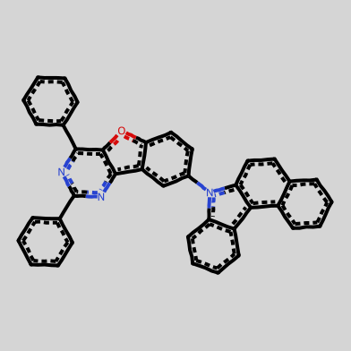 c1ccc(-c2nc(-c3ccccc3)c3oc4ccc(-n5c6ccccc6c6c7ccccc7ccc65)cc4c3n2)cc1